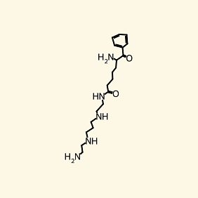 NCCNCCCNCCNC(=O)CCCCC(N)C(=O)c1ccccc1